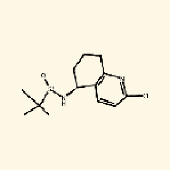 CC(C)(C)[S+]([O-])N[C@H]1CCCc2nc(Cl)ccc21